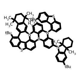 Cc1cc2c3c(c1)-n1c4cc5c(cc4c4c(C(C)(C)C)ccc6sc7ccc(c1c7c64)B3c1ccc(N3c4ccc(C(C)(C)C)cc4C4(C)CCCCC34C)cc1N2c1cccc2sc3ccc(C(C)(C)C)cc3c12)C(C)(C)CCC5(C)C